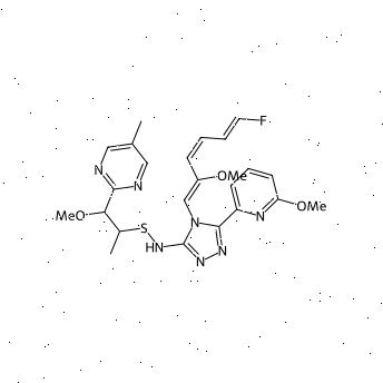 COC(/C=C\C=C\F)=C\n1c(NSC(C)C(OC)c2ncc(C)cn2)nnc1-c1cccc(OC)n1